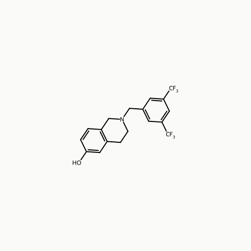 Oc1ccc2c(c1)CCN(Cc1cc(C(F)(F)F)cc(C(F)(F)F)c1)C2